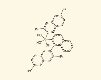 CC(C)c1ccc2cc(-c3c(P(O)(O)(O)c4cc5ccc(C(C)C)cc5cc4C(C)C)ccc4ccccc34)c(C(C)C)cc2c1